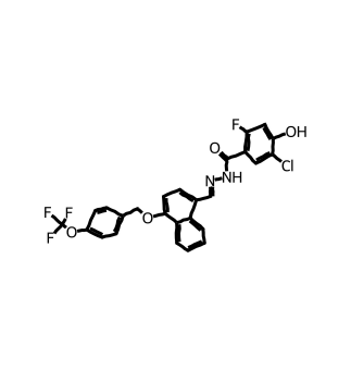 O=C(N/N=C/c1ccc(OCc2ccc(OC(F)(F)F)cc2)c2ccccc12)c1cc(Cl)c(O)cc1F